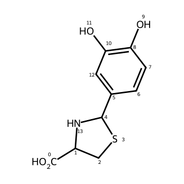 O=C(O)C1CSC(c2ccc(O)c(O)c2)N1